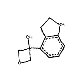 OC1(c2cccc3c2CCN3)COC1